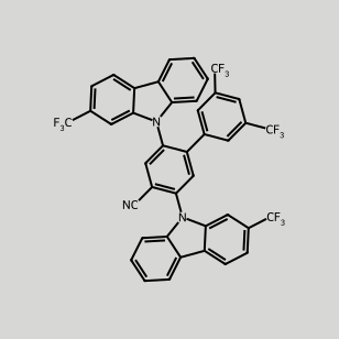 N#Cc1cc(-n2c3ccccc3c3ccc(C(F)(F)F)cc32)c(-c2cc(C(F)(F)F)cc(C(F)(F)F)c2)cc1-n1c2ccccc2c2ccc(C(F)(F)F)cc21